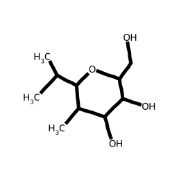 CC(C)C1OC(CO)C(O)C(O)C1C